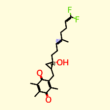 CC1=C(C)C(=O)C(CC2C[C@@]2(O)CC/C=C(\C)CCC=C(F)F)=C(C)C1=O